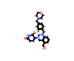 CN(Cc1c(C=O)cccc1NCc1ccc(CN2CCOCC2)cc1F)C1CCC(=O)NC1=O